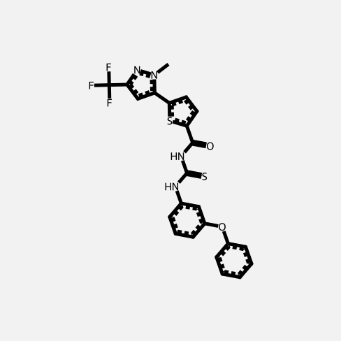 Cn1nc(C(F)(F)F)cc1-c1ccc(C(=O)NC(=S)Nc2cccc(Oc3ccccc3)c2)s1